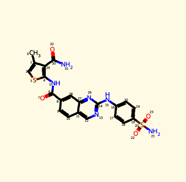 Cc1csc(NC(=O)c2ccc3cnc(Nc4ccc(S(N)(=O)=O)cc4)nc3c2)c1C(N)=O